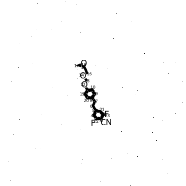 N#Cc1c(F)cc(CCc2ccc(OCOCC3CO3)cc2)cc1F